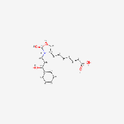 O=C(O)CCCCCCC1COC(=O)N1CCC(O)C1CCCCC1